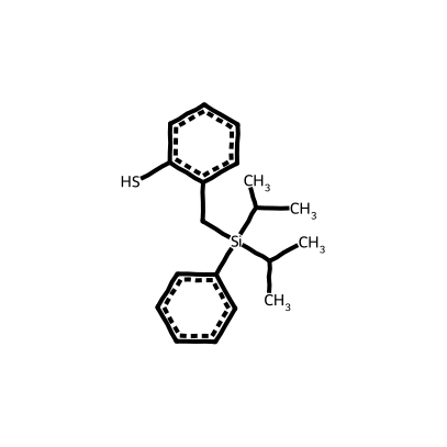 CC(C)[Si](Cc1ccccc1S)(c1ccccc1)C(C)C